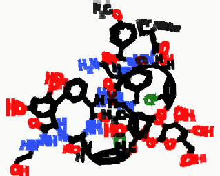 CN[C@H](CC(C)C)C(=O)N[C@H]1C(=O)N[C@@H](CC(N)=O)C(=O)N[C@H]2C(=O)N[C@H]3C(=O)N[C@H](C(=O)N[C@@H](C(=O)NNCCO)c4cc(O)cc(O)c4-c4cc3ccc4O)[C@H](O)c3ccc(c(Cl)c3)Oc3cc2cc(c3O[C@@H]2O[C@H](CO)[C@@H](O)[C@H](O)[C@H]2O[C@H]2C[C@](C)(NCc3ccc(NC(=O)c4ccc(OC(F)(F)F)cc4)cc3)[C@H](O)[C@H](C)O2)Oc2ccc(cc2Cl)[C@H]1O